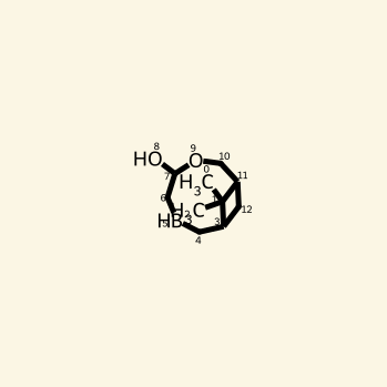 CC1(C)C2CBCC(O)OCC1C2